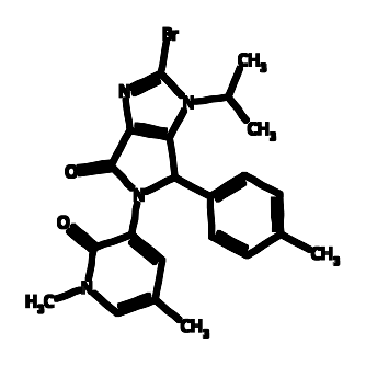 Cc1ccc(C2c3c(nc(Br)n3C(C)C)C(=O)N2c2cc(C)cn(C)c2=O)cc1